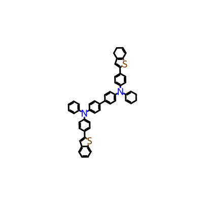 C1=CC(N(c2ccc(-c3ccc(N(c4ccccc4)c4ccc(-c5cc6ccccc6s5)cc4)cc3)cc2)c2ccc(-c3cc4c(s3)C=CCC4)cc2)=CCC1